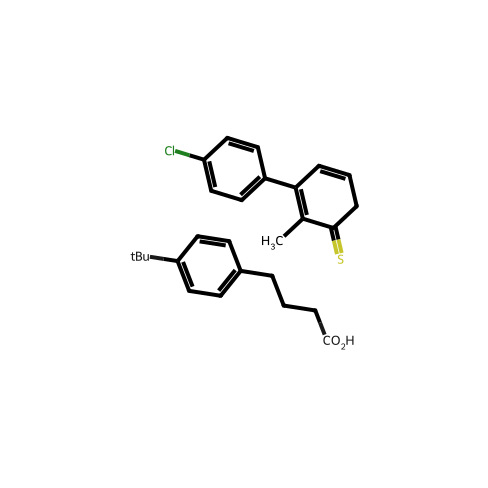 CC(C)(C)c1ccc(CCCC(=O)O)cc1.CC1=C(c2ccc(Cl)cc2)C=CCC1=S